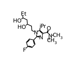 [CH2]CC(O)CC(O)CCn1c(-c2ccc(F)cc2)nc(C(=O)N(C)C)c1C(C)C